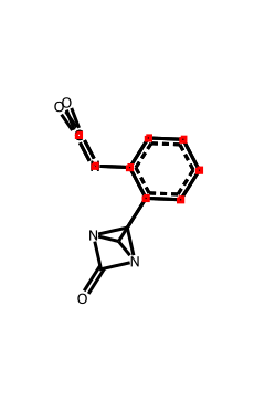 O=C=Nc1ccccc1C1N2C(=O)N1C2c1ccccc1N=C=O